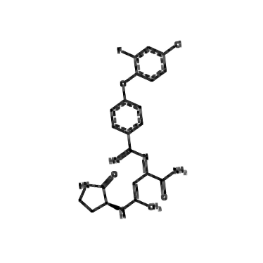 C/C(=C\C(=N/C(=N)c1ccc(Oc2ccc(Cl)cc2F)cc1)C(N)=O)N[C@H]1CCNC1=O